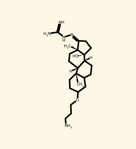 C[C@]12CCC(OCCCN)CC1CC[C@@H]1[C@H]2CC[C@]2(C)/C(=N\NC(=N)N)CC[C@@]12O